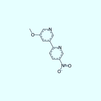 COc1cncc(-c2ccc([N+](=O)[O-])cn2)c1